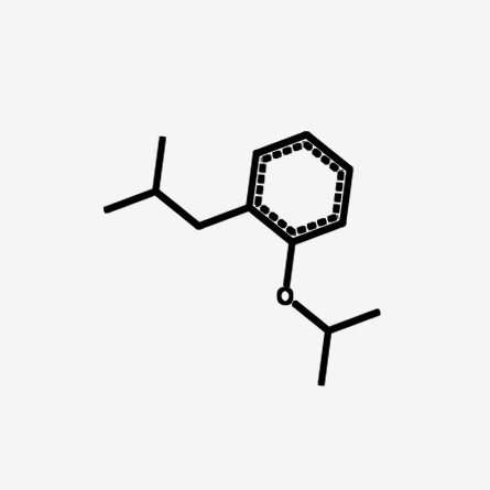 CC(C)Cc1ccccc1OC(C)C